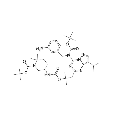 CC(C)c1cnn2c(N(Cc3cccc(N)c3)C(=O)OC(C)(C)C)nc(CC(C)(C)OC(=O)N[C@H]3CCC(C)(C)N(C(=O)OC(C)(C)C)C3)nc12